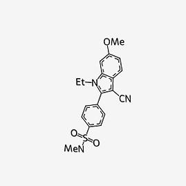 CCn1c(-c2ccc(S(=O)(=O)NC)cc2)c(C#N)c2ccc(OC)cc21